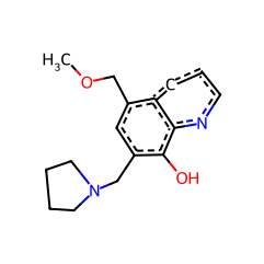 COCc1cc(CN2CCCC2)c(O)c2ncccc12